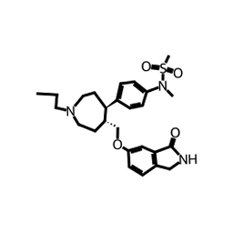 CCCN1CC[C@@H](COc2ccc3c(c2)C(=O)NC3)[C@H](c2ccc(N(C)S(C)(=O)=O)cc2)CC1